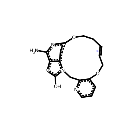 Nc1nc2cc3c1nc(O)n3Cc1ncccc1OC/C=C/CCO2